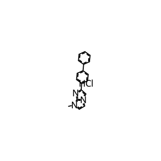 Cl.Cn1ccn2cc(-c3ccc(-c4ccccc4)cc3)nc12